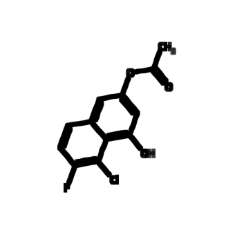 CC(=O)Oc1cc(O)c2c(Cl)c(F)ccc2c1